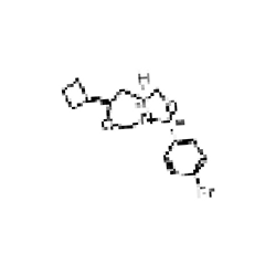 Brc1ccc([C@H]2OC[C@@H]3CC(=C4CCC4)OCN32)cc1